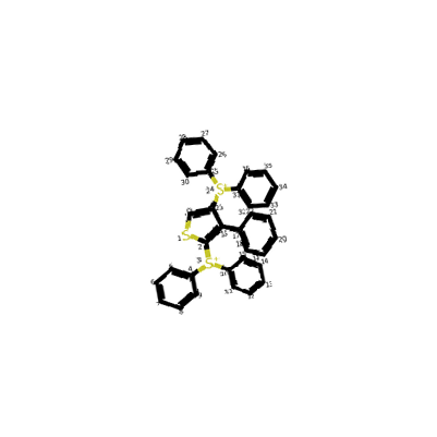 [c]1sc([S+](c2ccccc2)c2ccccc2)c(-c2ccccc2)c1[S+](c1ccccc1)c1ccccc1